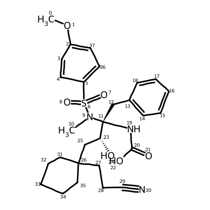 COc1ccc(S(=O)(=O)N(C)[C@](Cc2ccccc2)(NC(=O)O)[C@H](O)CC2(CCC#N)CCCCC2)cc1